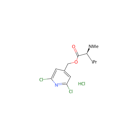 CN[C@H](C(=O)OCc1cc(Cl)nc(Cl)c1)C(C)C.Cl